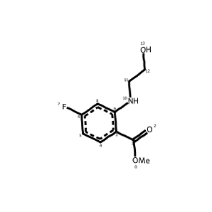 COC(=O)c1ccc(F)cc1NCCO